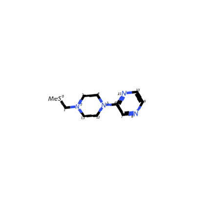 CSCN1CCN(c2cnccn2)CC1